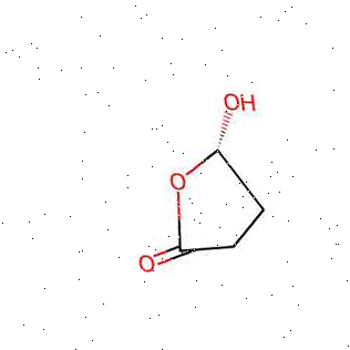 O=C1CC[C@@H](O)O1